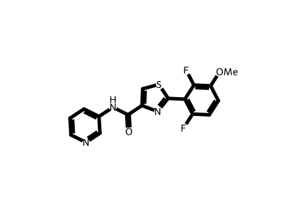 COc1ccc(F)c(-c2nc(C(=O)Nc3cccnc3)cs2)c1F